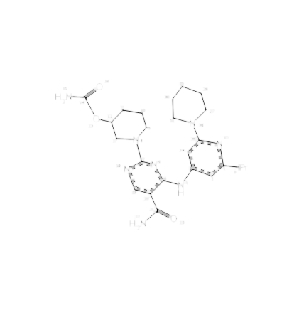 CC(C)c1cc(Nc2nc(N3CCCC(OC(N)=O)C3)ncc2C(N)=O)cc(N2CCCCC2)n1